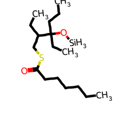 CCCCCCC(=O)SCC(CC)C(CC)(CCC)O[SiH3]